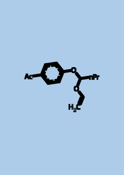 C=COC(CCC)Oc1ccc(C(C)=O)cc1